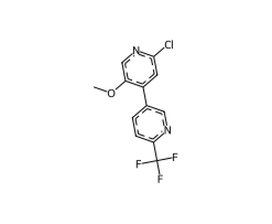 COc1cnc(Cl)cc1-c1ccc(C(F)(F)F)nc1